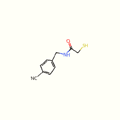 N#Cc1ccc(CNC(=O)CS)cc1